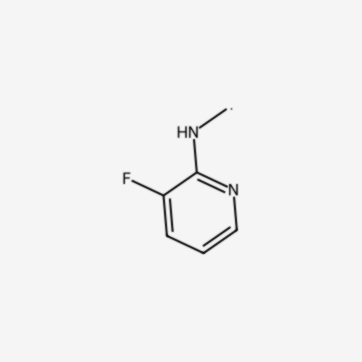 [CH2]Nc1ncccc1F